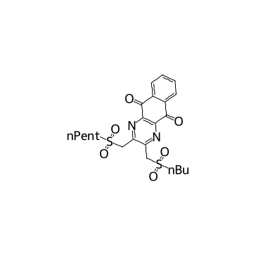 CCCCCS(=O)(=O)Cc1nc2c(nc1CS(=O)(=O)CCCC)C(=O)c1ccccc1C2=O